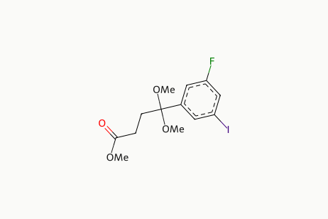 COC(=O)CCC(OC)(OC)c1cc(F)cc(I)c1